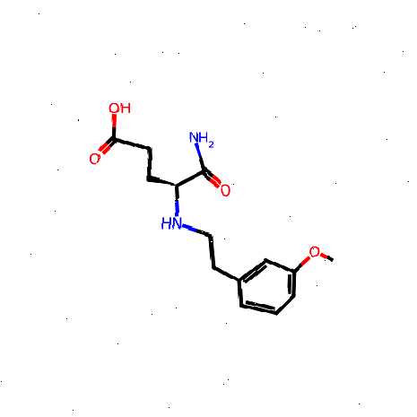 COc1cccc(CCN[C@@H](CCC(=O)O)C(N)=O)c1